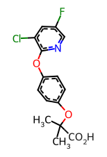 CC(C)(Oc1ccc(Oc2ncc(F)cc2Cl)cc1)C(=O)O